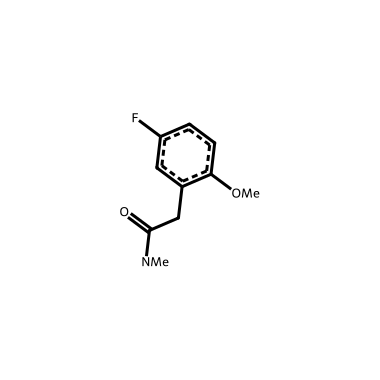 CNC(=O)Cc1cc(F)ccc1OC